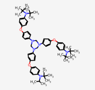 CC(C)N(c1ccc(Oc2ccc(N3CN(c4ccc(Oc5ccc(N(C(C)(C)C)C(C)(C)C)cc5)cc4)CN(c4ccc(Oc5ccc(N(C(C)(C)C)C(C)(C)C)cc5)cc4)C3)cc2)cc1)C(C)(C)C